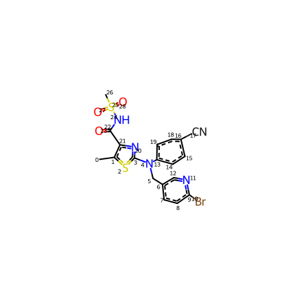 Cc1sc(N(Cc2ccc(Br)nc2)c2ccc(C#N)cc2)nc1C(=O)NS(C)(=O)=O